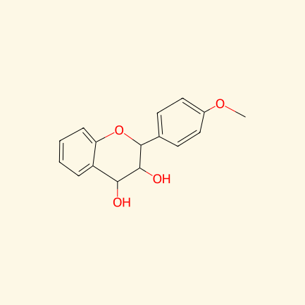 COc1ccc(C2Oc3ccccc3C(O)C2O)cc1